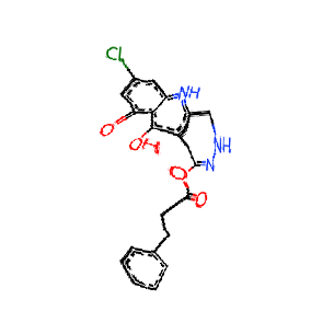 O=C(CCc1ccccc1)OC1=NNCc2[nH]c3cc(Cl)cc(=O)c-3c(O)c21